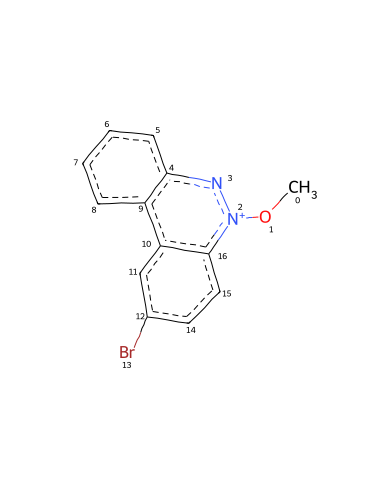 CO[n+]1nc2ccccc2c2cc(Br)ccc21